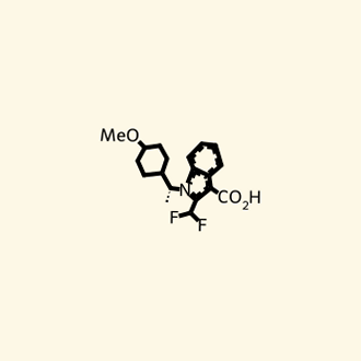 COC1CCC([C@@H](C)n2c(C(F)F)c(C(=O)O)c3ccccc32)CC1